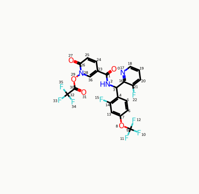 O=C(NC(c1ccc(OC(F)(F)F)cc1F)c1ncccc1F)c1ccc(=O)n(OC(=O)C(F)(F)F)c1